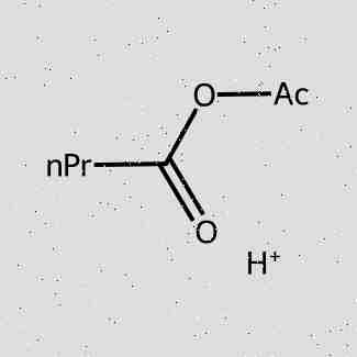 CCCC(=O)OC(C)=O.[H+]